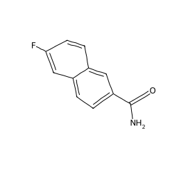 NC(=O)c1ccc2cc(F)ccc2c1